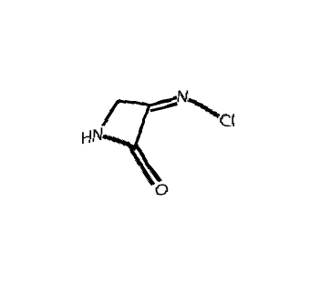 O=C1NC/C1=N/Cl